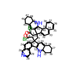 O=C(Br)CC1(CC2(CC(=O)Br)C3=C(NC4CCCCC4=C3)c3c2ccc2cnccc32)C2=CC=C3C=CC=CC3C2C2=C1C=C1CCCCC1N2